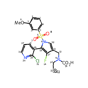 COc1cccc(S(=O)(=O)n2cc(CN(CC(C)(C)C)C(=O)O)c(F)c2-c2cccnc2Cl)c1